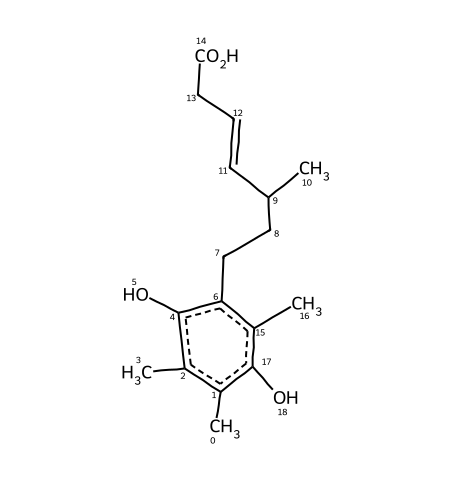 Cc1c(C)c(O)c(CCC(C)C=CCC(=O)O)c(C)c1O